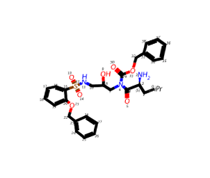 CC(C)C[C@H](N)C(=O)N(CC(O)CNS(=O)(=O)c1ccccc1OCc1ccccc1)C(=O)OCc1ccccc1